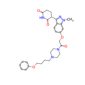 Cn1nc(C2CCC(=O)NC2=O)c2ccc(OCC(=O)N3CCN(CCCCOc4ccccc4)CC3)cc21